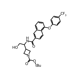 CC(C)(C)OC(=O)N1CC(C(CO)NC(=O)c2ccc3c(Oc4ccc(C(F)(F)F)cc4)cccc3c2)C1